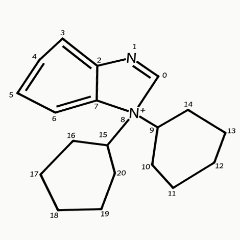 C1=Nc2ccccc2[N+]1(C1CCCCC1)C1CCCCC1